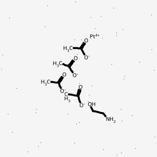 CC(=O)[O-].CC(=O)[O-].CC(=O)[O-].CC(=O)[O-].NCCO.[Pt+4]